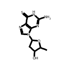 CC1OC(n2cnc3c(=S)[nH]c(N)nc32)CC1O